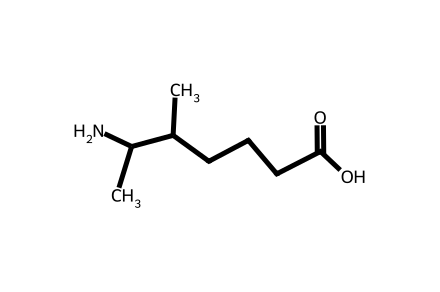 CC(N)C(C)CCCC(=O)O